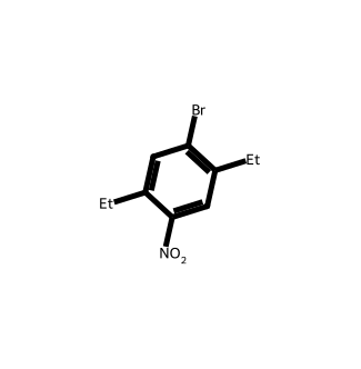 CCc1cc([N+](=O)[O-])c(CC)cc1Br